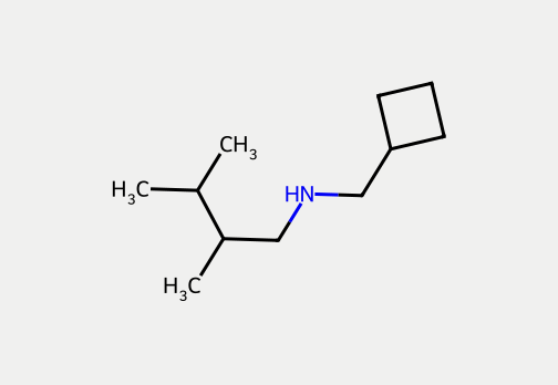 CC(C)C(C)CNCC1CCC1